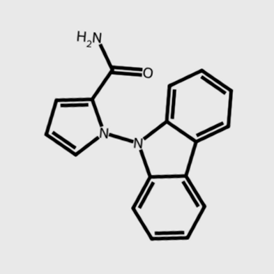 NC(=O)c1cccn1-n1c2ccccc2c2ccccc21